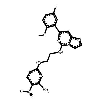 COc1ccc(Cl)cc1-c1cc2nccn2c(NCCNc2ccc([N+](=O)[O-])c(N)n2)n1